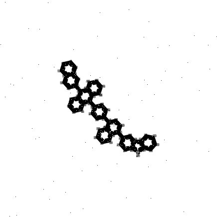 c1ccc2cc(-c3c4ccccc4c(-c4ccc(-c5ccc(-c6ccc7oc8ccccc8c7c6)c6ccccc56)cc4)c4ccccc34)ccc2c1